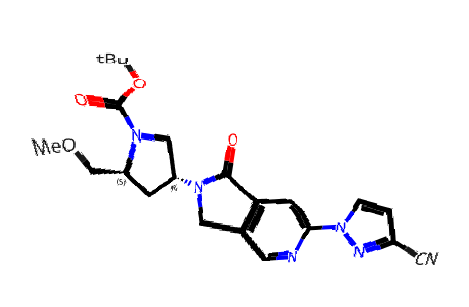 COC[C@@H]1C[C@@H](N2Cc3cnc(-n4ccc(C#N)n4)cc3C2=O)CN1C(=O)OC(C)(C)C